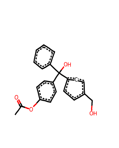 CC(=O)Oc1ccc(C(O)(c2ccccc2)c2ccc(CO)cc2)cc1